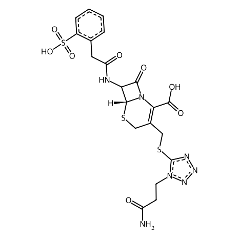 NC(=O)CCn1nnnc1SCC1=C(C(=O)O)N2C(=O)C(NC(=O)Cc3ccccc3S(=O)(=O)O)[C@H]2SC1